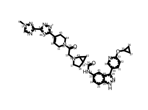 Cn1cnc(-c2nnc(C3=CCN(C(=O)CN4CC[C@]5(C(=O)Nc6ccc7[nH]nc(-c8ccc(OC9CC9)nc8)c7c6)CC45)CC3)s2)n1